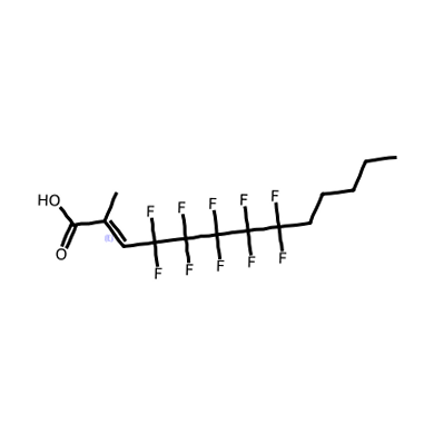 CCCCCC(F)(F)C(F)(F)C(F)(F)C(F)(F)C(F)(F)/C=C(\C)C(=O)O